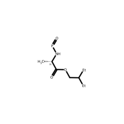 CCC(CC)COC(=O)[C@H](C)NP=O